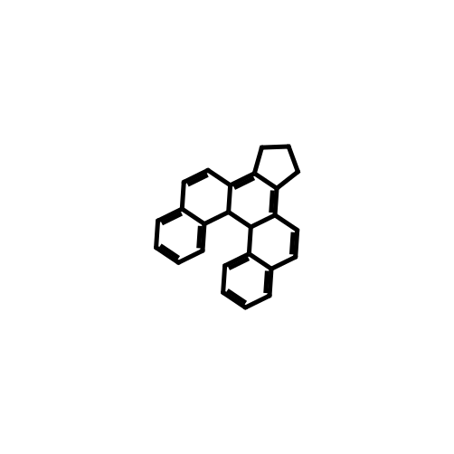 C1=Cc2ccccc2C2C1=C1CCCC1=C1C=Cc3ccccc3C12